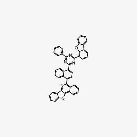 c1ccc(-c2nc(-c3ccc(-c4nc5c6ccccc6sc5c5ccccc45)c4ccccc34)nc(-c3cccc4c3oc3ccccc34)n2)cc1